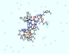 C=CCNC(=O)C(=O)[C@H](CCCCF)NC(=O)[C@@H]1[C@@H]2[C@H](CN1C(=O)[C@@H](NC(=O)NC1(CS(=O)(=O)C(C)(C)C)CCCCC1)C1(C)CCCCC1)C2(C)C